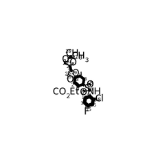 CCOC(=O)C1=CC2(CCC1S(=O)(=O)Nc1ccc(F)cc1Cl)OC[C@H]([C@H]1COC(C)(C)O1)O2